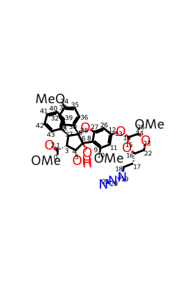 COC(=O)[C@H]1[C@@H](O)[C@@]2(O)c3c(OC)cc(OC4O[C@@H](CCN=[N+]=[N-])CO[C@H]4OC)cc3O[C@@]2(c2ccc(OC)cc2)[C@@H]1c1ccccc1